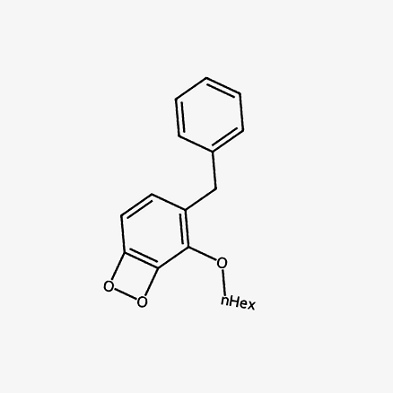 CCCCCCOc1c(Cc2ccccc2)ccc2ooc12